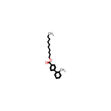 CCCCCCCCCCOC(=O)c1ccc(-c2ccccc2C)cc1